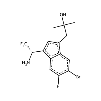 CC(C)(O)Cn1cc([C@H](N)C(F)(F)F)c2cc(F)c(Br)cc21